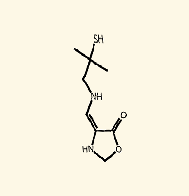 CC(C)(S)CN/C=C1/NCOC1=O